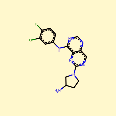 NC1CCN(c2ncc3ncnc(Nc4ccc(F)c(Cl)c4)c3n2)C1